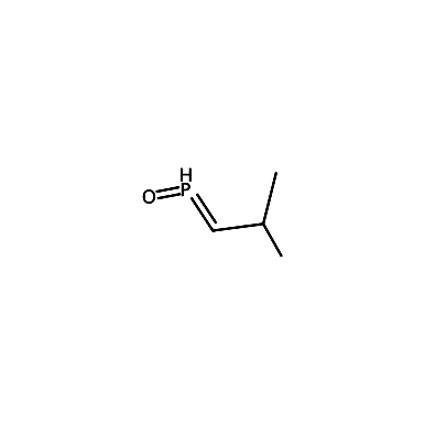 CC(C)C=[PH]=O